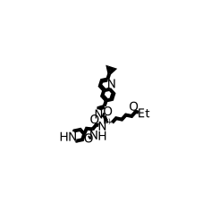 CCC(=O)CCCCC[C@H](NC(=O)C1=NOC2(CCNCC2)C1)c1ncc(-c2ccc3nc(C4CC4)ccc3c2)o1